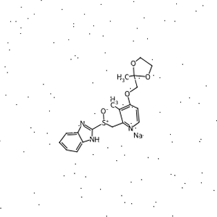 Cc1c(OCC2(C)OCCO2)ccnc1C[S+]([O-])c1nc2ccccc2[nH]1.[Na]